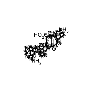 CC(NC(=O)CCCCCN1C(=O)C=CC1=O)C(=O)NC(Cc1ccccc1)C(=O)N[C@@H](CCCCN)C(=O)N[C@@H](CCCCNC(=O)CCC(NC(=O)c1ccc(N(C)Cc2cnc3nc(N)nc(N)c3n2)cc1)C(=O)O)C(=O)O